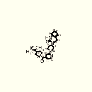 CC(C)(O)C1CCN(C(=O)c2ccnc(N3CCC(N4CCc5ccccc5NC4=O)CC3)c2)CC1